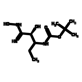 CCC(NC(=O)OC(C)(C)C)[C@H](O)C(=N)NO